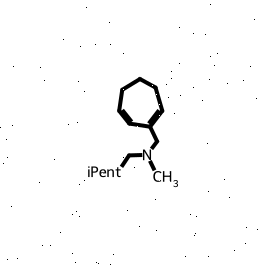 CCCC(C)CN(C)CC1=CCCCC=C1